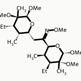 CC[C@H]1[C@@H](C)[C@@H](/C(C[C@H]2O[C@H](OC)[C@](C)(OC)[C@@H](CC)[C@H]2C)=N\OC)O[C@H](OC)[C@]1(C)OC